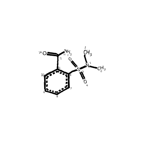 CN(C)S(=O)(=O)c1ccccc1C(N)=O